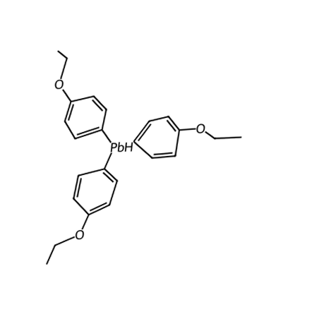 CCOc1cc[c]([PbH]([c]2ccc(OCC)cc2)[c]2ccc(OCC)cc2)cc1